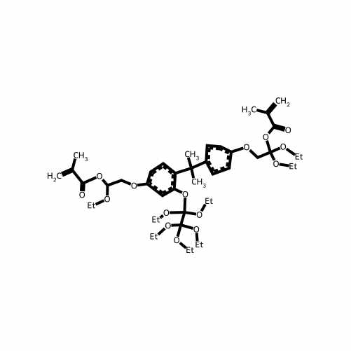 C=C(C)C(=O)OC(COc1ccc(C(C)(C)c2ccc(OCC(OCC)(OCC)OC(=O)C(=C)C)cc2)c(OC(OCC)(OCC)C(OCC)(OCC)OCC)c1)OCC